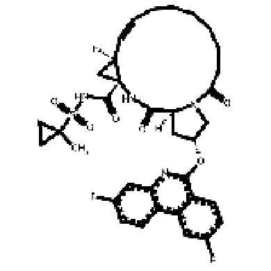 CC1(S(=O)(=O)NC(=O)[C@@]23C[C@H]2/C=C\CCCCCCC(=O)N2C[C@H](Oc4nc5cc(F)ccc5c5cc(F)ccc45)C[C@H]2C(=O)N3)CC1